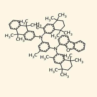 Cc1cc(N(c2ccc3c(c2)C(C)(C)c2ccccc2C3(C)C)c2cc3c(cc2C)C(C)(C)CCC3(C)C)cc(N(c2cc3c(cc2C)C(C)(C)CCC3(C)C)c2cccc3c2oc2ccccc23)c1